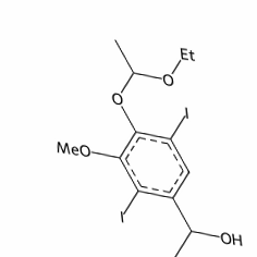 CCOC(C)Oc1c(I)cc(C(C)O)c(I)c1OC